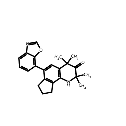 CC1(C)Nc2c(cc(-c3cccc4ncoc34)c3c2CCC3)C(C)(C)C1=O